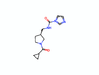 O=C(C1CC1)N1CC[C@@H](CNC(=O)n2ccnc2)C1